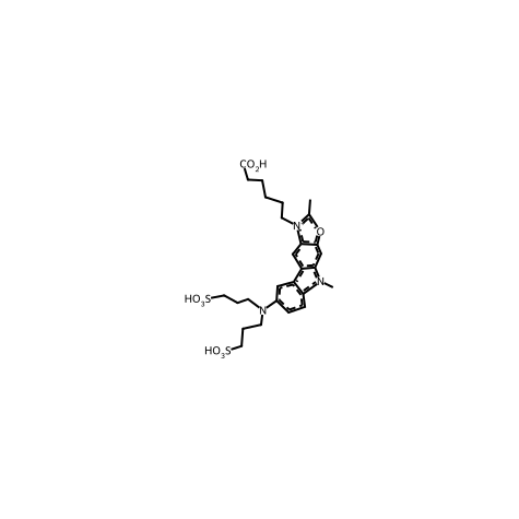 Cc1oc2cc3c(cc2[n+]1CCCCCC(=O)O)c1cc(N(CCCS(=O)(=O)O)CCCS(=O)(=O)O)ccc1n3C